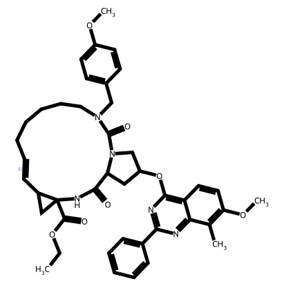 CCOC(=O)C12CC1/C=C/CCCCCN(Cc1ccc(OC)cc1)C(=O)N1CC(Oc3nc(-c4ccccc4)nc4c(C)c(OC)ccc34)CC1C(=O)N2